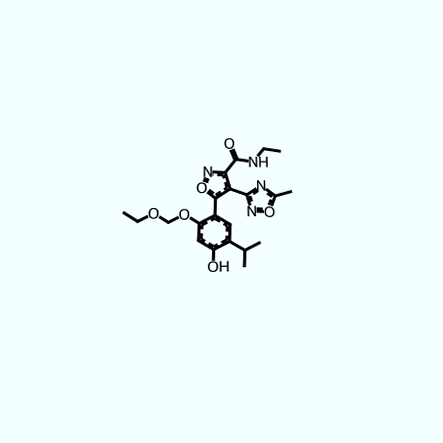 CCNC(=O)c1noc(-c2cc(C(C)C)c(O)cc2OCOCC)c1-c1noc(C)n1